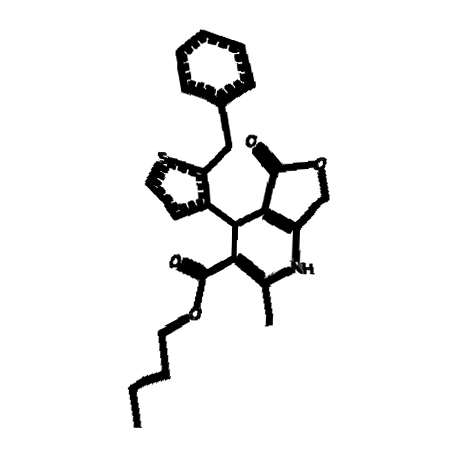 CCCCOC(=O)C1=C(C)NC2=C(C(=O)OC2)C1c1ccsc1Cc1ccccc1